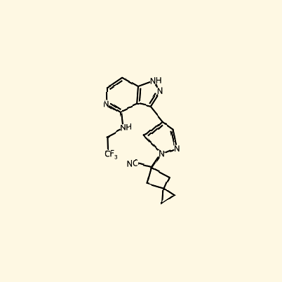 N#CC1(n2cc(-c3n[nH]c4ccnc(NCC(F)(F)F)c34)cn2)CC2(CC2)C1